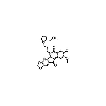 COc1cc2c3c(n(CCCN4CCC[C@H]4CO)c(=O)c2cc1OC)-c1nc2c(cc1C3=O)OCO2